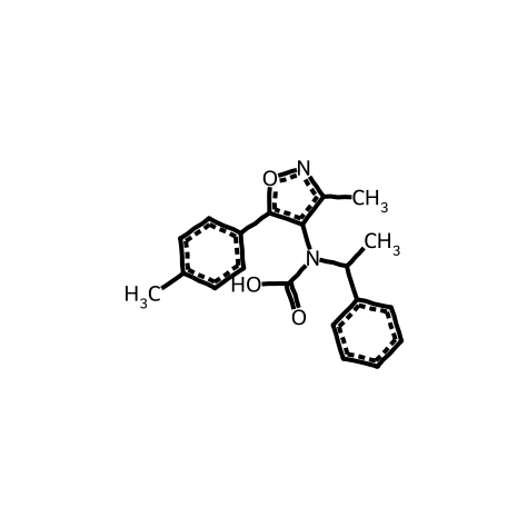 Cc1ccc(-c2onc(C)c2N(C(=O)O)C(C)c2ccccc2)cc1